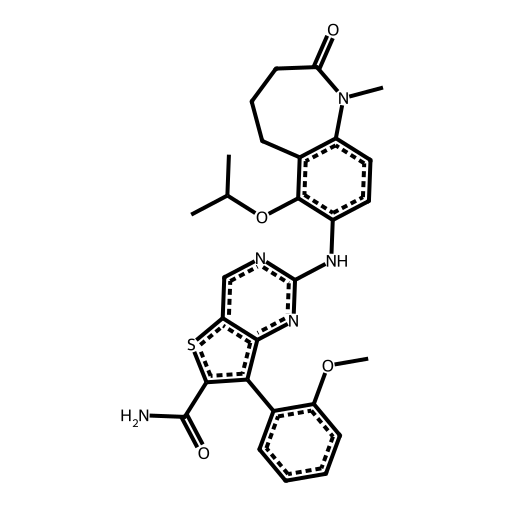 COc1ccccc1-c1c(C(N)=O)sc2cnc(Nc3ccc4c(c3OC(C)C)CCCC(=O)N4C)nc12